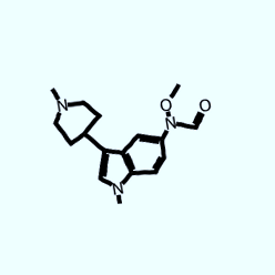 CON(C=O)c1ccc2c(c1)c(C1CCN(C)CC1)cn2C